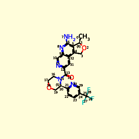 C[C@H]1OCc2c1c(N)nc1cnc(C(=O)N3CCOC[C@@H]3c3ccc(C(F)(F)F)cn3)cc21